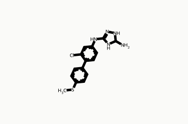 CSc1ccc(-c2ccc(NC3=NNC(N)N3)cc2Cl)cc1